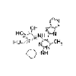 Cc1nc(NC2CCCCC2)nc(N[C@@H]2C[C@H](CO)[C@@H](O)[C@H]2O)c1-c1nc2cnccc2s1